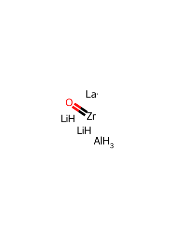 [AlH3].[La].[LiH].[LiH].[O]=[Zr]